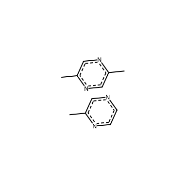 Cc1cnc(C)cn1.Cc1cnccn1